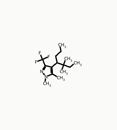 CCCC(c1c(C(F)(F)F)nn(C)c1C)C(C)(C)CC